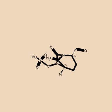 C=C1[C@H]2CC[C@@H](C=O)N1C(=O)N2OS(=O)(=O)O